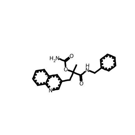 CC(Cc1cnc2ccccc2c1)(OC(N)=O)C(=O)NCc1ccccc1